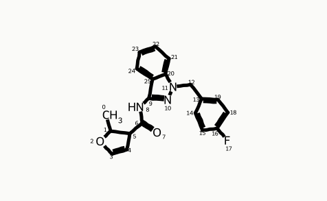 CC1OC=CC1C(=O)Nc1nn(Cc2ccc(F)cc2)c2ccccc12